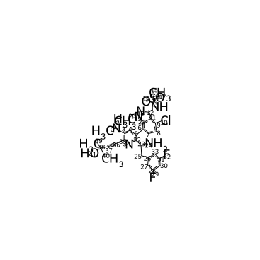 CN(C)c1cc(-c2ccc(Cl)c3c(NS(C)(=O)=O)nn(C)c23)c([C@@H](N)Cc2cc(F)cc(F)c2)nc1C#CC(C)(C)O